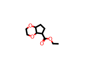 CCOC(=O)C1CCC2OCCOC21